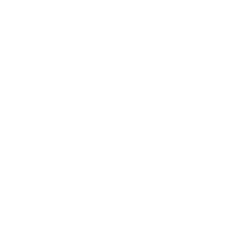 CSC(=S)SCc1ccc(C(=O)OCCO)cc1